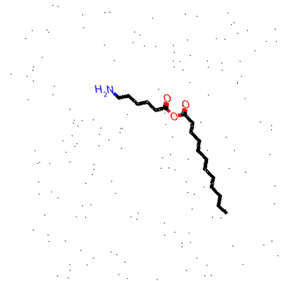 CCCCCCCCCCCC(=O)OC(=O)CCCCCN